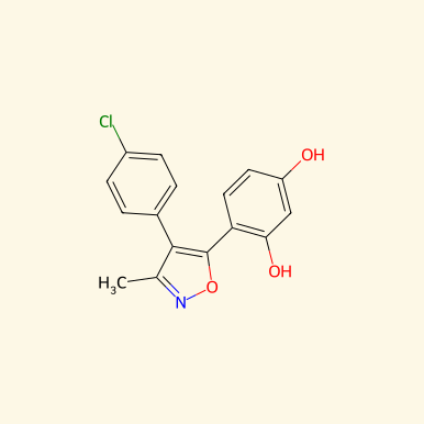 Cc1noc(-c2ccc(O)cc2O)c1-c1ccc(Cl)cc1